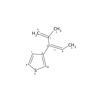 C=C(C)/C(=C\C)c1ccsc1